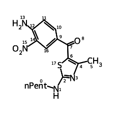 CCCCCNc1nc(C)c(C(=O)c2ccc(N)c([N+](=O)[O-])c2)s1